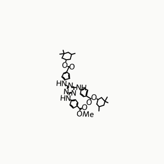 COC(=O)c1ccc(Nc2nc(Nc3ccc(C(=O)OC4CC(C)CC(C)(C)C4)cc3)nc(Nc3ccc(C(=O)OC4CC(C)CC(C)(C)C4)cc3)n2)cc1